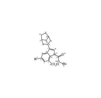 CCOC(=O)c1cc(Br)cc2c(C3CC4CCC(C3)S4)cn(C(=O)OC(C)(C)C)c12